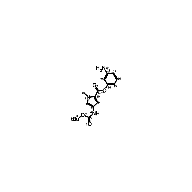 Cn1cc(NC(=O)OC(C)(C)C)cc1C(=O)Oc1cccc(N)c1